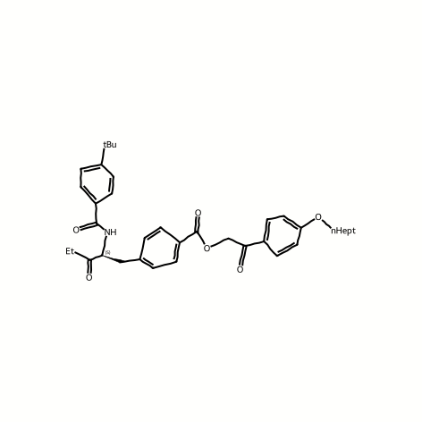 CCCCCCCOc1ccc(C(=O)COC(=O)c2ccc(C[C@H](NC(=O)c3ccc(C(C)(C)C)cc3)C(=O)CC)cc2)cc1